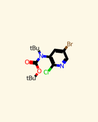 CC(C)(C)OC(=O)N(c1cc(Br)cnc1Cl)C(C)(C)C